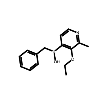 CCOc1c(N(O)Cc2ccccc2)ccnc1C